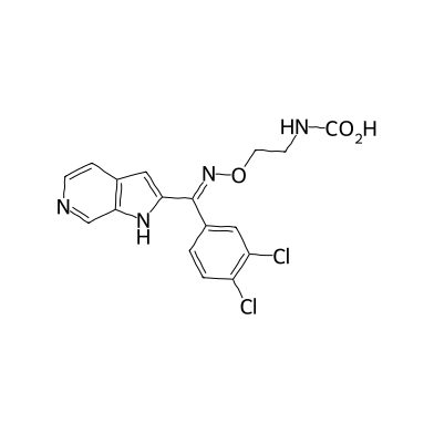 O=C(O)NCCON=C(c1ccc(Cl)c(Cl)c1)c1cc2ccncc2[nH]1